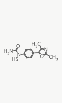 Cc1nc(C)c(-c2ccc(N(S)C(N)=O)cc2)o1